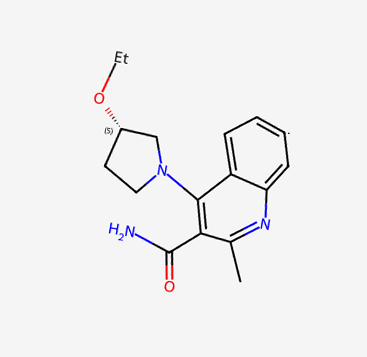 CCO[C@H]1CCN(c2c(C(N)=O)c(C)nc3c[c]ccc23)C1